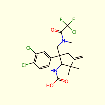 C=CCC(CN(C)C(=O)C(F)(F)Cl)(c1ccc(Cl)c(Cl)c1)C(NC(=O)O)C(C)(C)C